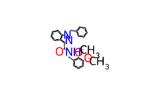 COc1cccc(CNC(=O)c2nn(Cc3ccccc3)c3ccccc23)c1OC